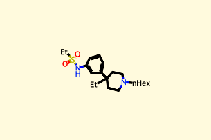 CCCCCCN1CCC(CC)(c2cccc(NS(=O)(=O)CC)c2)CC1